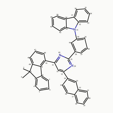 CC1(C)c2ccccc2-c2c(-c3cc(-c4ccc5ccccc5c4)nc(-c4cccc(-n5c6ccccc6c6ccccc65)c4)n3)cccc21